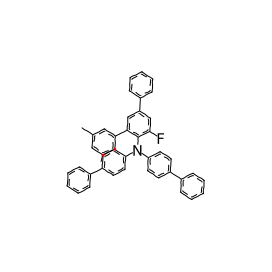 Cc1cc(C)cc(-c2cc(-c3ccccc3)cc(F)c2N(c2ccc(-c3ccccc3)cc2)c2ccc(-c3ccccc3)cc2)c1